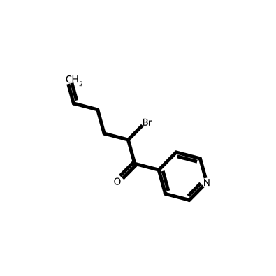 C=CCCC(Br)C(=O)c1ccncc1